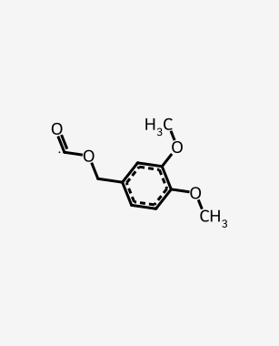 COc1ccc(CO[C]=O)cc1OC